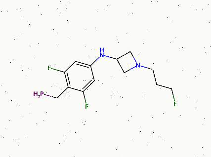 FCCCN1CC(Nc2cc(F)c(CP)c(F)c2)C1